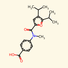 CC(C)c1cc(C(=O)N(C)c2ccc(C(=O)O)cc2)oc1C(C)C